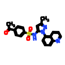 CC(=O)c1ccc(S(=O)(=O)Nc2cc(C)nn2-c2cccc3ncccc23)cc1